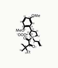 C=CC[N+]1(C(=O)C(=O)C(C)(C)CC)CCC(c2cc(OC)ccc2OC)[C@H]1C(=O)[O-]